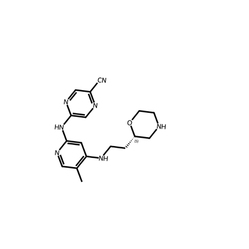 Cc1cnc(Nc2cnc(C#N)cn2)cc1NCC[C@H]1CNCCO1